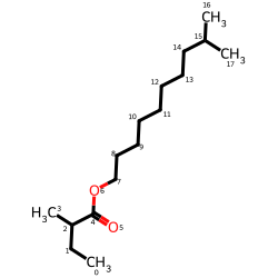 CCC(C)C(=O)OCCCCCCCCC(C)C